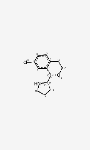 Clc1ccc2c(c1)[C@@H]([C@@H]1CCCN1)OCC2